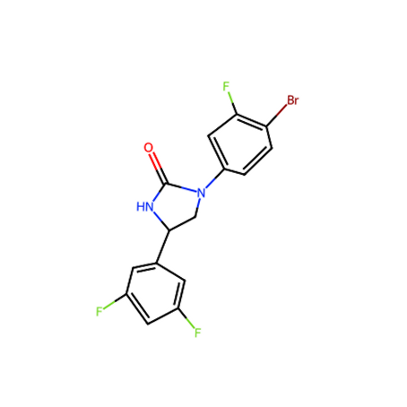 O=C1NC(c2cc(F)cc(F)c2)CN1c1ccc(Br)c(F)c1